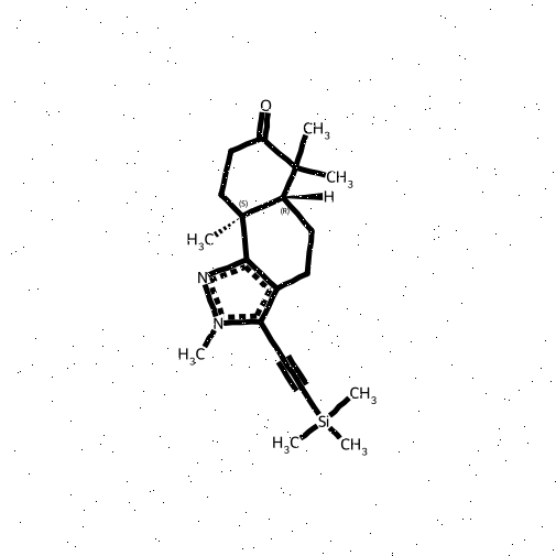 Cn1nc2c(c1C#C[Si](C)(C)C)CC[C@H]1C(C)(C)C(=O)CC[C@]21C